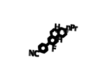 CCC[C@@H]1CC[C@@H]2c3cc(F)c(-c4ccc(C#N)cc4)cc3CC[C@H]2C1